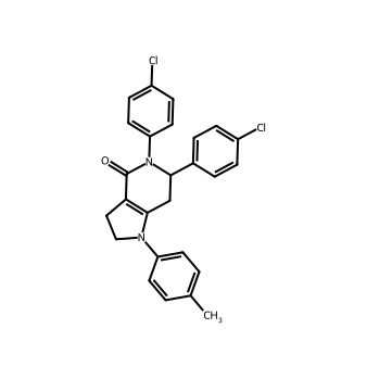 Cc1ccc(N2CCC3=C2CC(c2ccc(Cl)cc2)N(c2ccc(Cl)cc2)C3=O)cc1